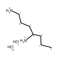 CCCC(N)CCCN.Cl.Cl